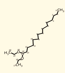 CCCCCCCCCCCCCCN(OCC)OCC